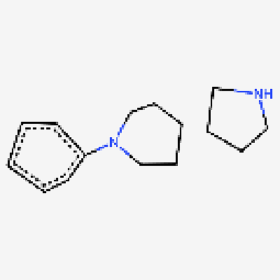 C1CCNC1.c1ccc(N2CCCCC2)cc1